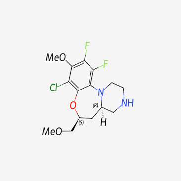 COC[C@@H]1C[C@@H]2CNCCN2c2c(F)c(F)c(OC)c(Cl)c2O1